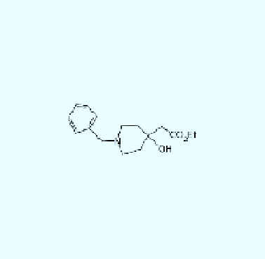 CCOC(=O)CC1(O)CCN(Cc2ccccc2)CC1